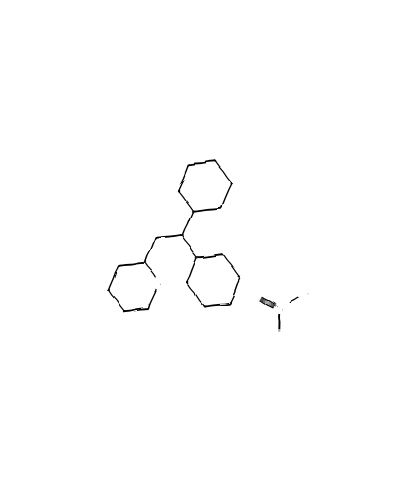 C1CCC(C(CC2CCCCN2)C2CCCCC2)CC1.O=[N+]([O-])O